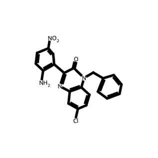 Nc1ccc([N+](=O)[O-])cc1-c1nc2cc(Cl)ccc2n(Cc2ccccc2)c1=O